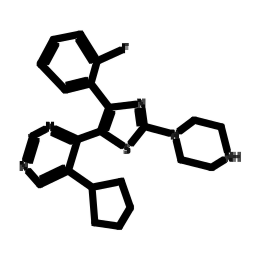 Fc1ccccc1-c1nc(N2CCNCC2)sc1-c1n[c]ncc1C1CCCC1